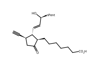 C#C[C@@H]1CC(=O)[C@H](CCCCCCC(=O)O)[C@H]1C=C[C@@H](O)CCCCC